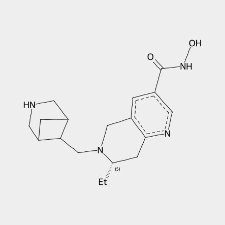 CC[C@H]1Cc2ncc(C(=O)NO)cc2CN1CC1C2CNCC1C2